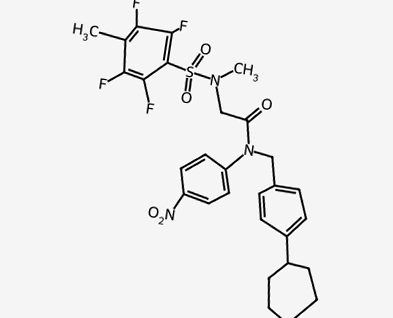 Cc1c(F)c(F)c(S(=O)(=O)N(C)CC(=O)N(Cc2ccc(C3CCCCC3)cc2)c2ccc([N+](=O)[O-])cc2)c(F)c1F